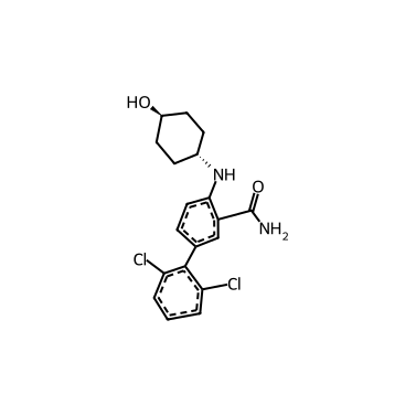 NC(=O)c1cc(-c2c(Cl)cccc2Cl)ccc1N[C@H]1CC[C@H](O)CC1